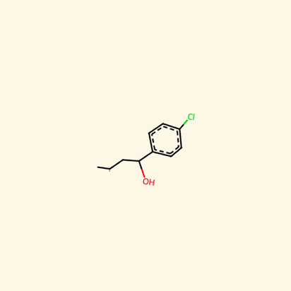 C[CH]CC(O)c1ccc(Cl)cc1